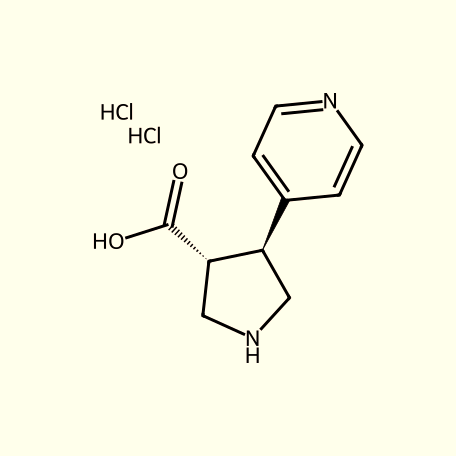 Cl.Cl.O=C(O)[C@H]1CNC[C@@H]1c1ccncc1